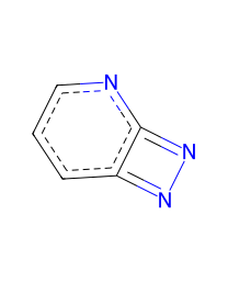 c1cnc2c(c1)=NN=2